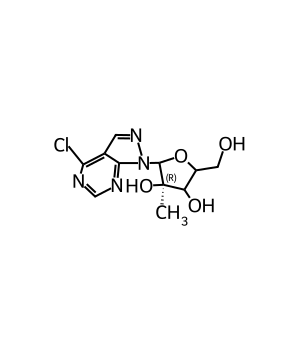 C[C@@]1(O)C(O)C(CO)OC1n1ncc2c(Cl)ncnc21